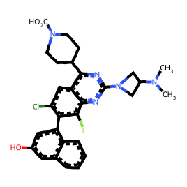 CN(C)C1CN(c2nc(C3CCN(C(=O)O)CC3)c3cc(Cl)c(-c4cc(O)cc5ccccc45)c(F)c3n2)C1